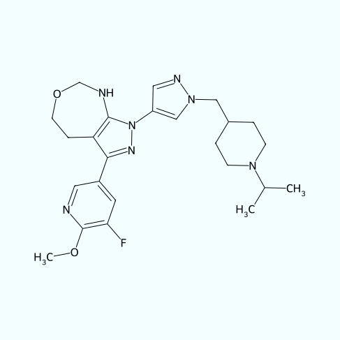 COc1ncc(-c2nn(-c3cnn(CC4CCN(C(C)C)CC4)c3)c3c2CCOCN3)cc1F